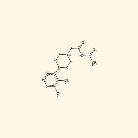 N#Cc1c(Cl)cncc1N1CCC(CC(=O)OC(=O)C(F)(F)F)CC1